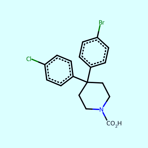 O=C(O)N1CCC(c2ccc(Cl)cc2)(c2ccc(Br)cc2)CC1